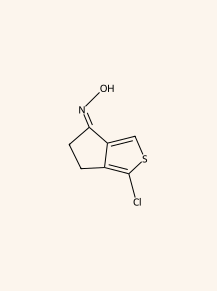 ON=C1CCc2c1csc2Cl